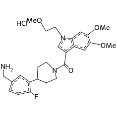 COCCn1cc(C(=O)N2CCC(c3cc(CN)ccc3F)CC2)c2cc(OC)c(OC)cc21.Cl